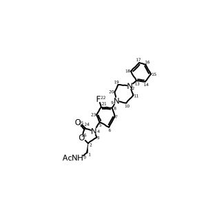 CC(=O)NC[C@@H]1CN(c2ccc(N3CCN(c4ccccc4)CC3)c(F)c2)C(=O)O1